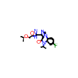 CC(C)OCc1nc(-c2ncn3c2c(=O)n(C(C)C)c2cc(F)ccc23)no1